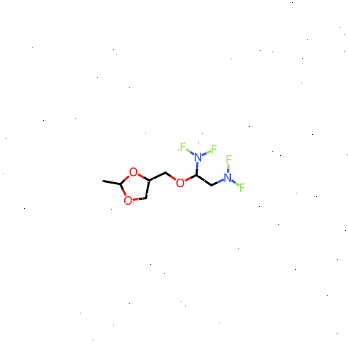 CC1OCC(COC(CN(F)F)N(F)F)O1